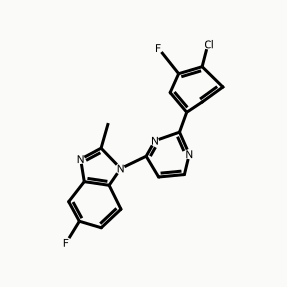 Cc1nc2cc(F)ccc2n1-c1ccnc(-c2ccc(Cl)c(F)c2)n1